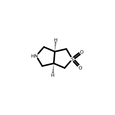 O=S1(=O)C[C@H]2CNC[C@H]2C1